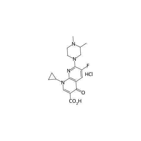 CC1CN(c2nc3c(cc2F)c(=O)c(C(=O)O)cn3C2CC2)CCN1C.Cl